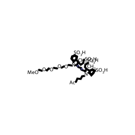 COCCOCCOCCOCCOCCN1/C(=C/C=C/C2=[N+](CCCCCC(C)=O)c3ccc(S(=O)(=O)O)cc3C2(C)CCCS(=O)(=O)O)C(C)(CCCS(=O)(=O)O)c2cc(S(=O)(=O)O)ccc21